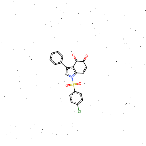 O=C1C=Cc2c(c(-c3ccccc3)cn2S(=O)(=O)c2ccc(Cl)cc2)C1=O